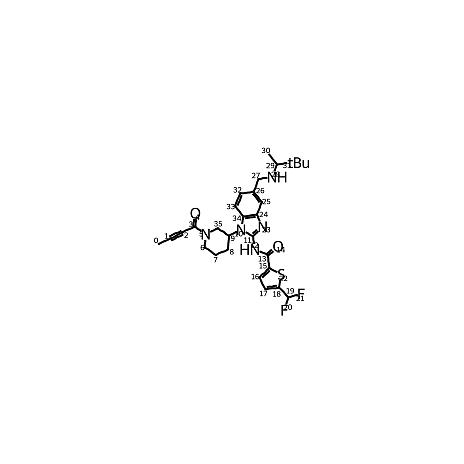 CC#CC(=O)N1CCCC(n2c(NC(=O)c3ccc(C(F)F)s3)nc3cc(CNC(C)C(C)(C)C)ccc32)C1